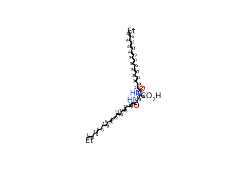 CCC=CCC=CCC=CCC=CCC=CCC=CCCC(=O)NC[C@H](NC(=O)CCC=CCC=CCC=CCC=CCC=CCC=CCC)C(=O)O